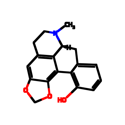 CN1CCc2cc3c(c4c2[C@H]1Cc1cccc(O)c1-4)OCO3